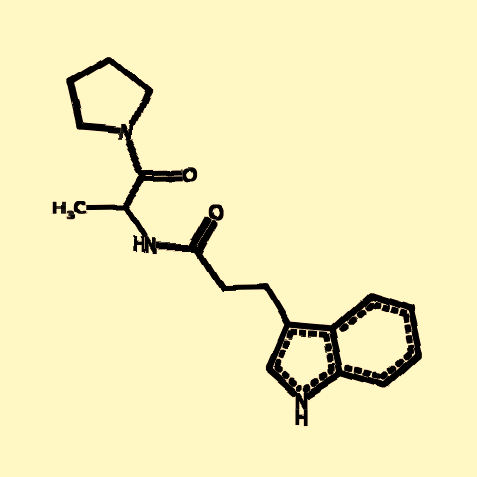 CC(NC(=O)CCc1c[nH]c2ccccc12)C(=O)N1CCCC1